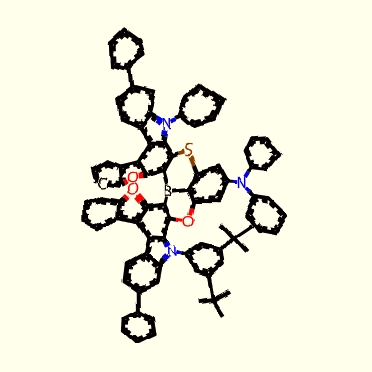 CC(C)(C)c1cc(-n2c3cc(-c4ccccc4)ccc3c3c4c(oc5ccccc54)c4c(c32)Oc2cc(N(c3ccccc3)c3ccccc3)cc3c2B4c2c(c4c(c5ccc(-c6ccccc6)cc5n4-c4ccccc4)c4c2oc2ccccc24)S3)cc(C(C)(C)C)c1